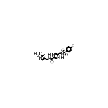 Cc1ncc(CNC(=O)c2cnc(CNS(=O)(=O)c3ccc(F)cc3)cn2)s1